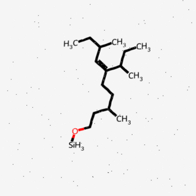 CCC(C)C=C(CCC(C)CCO[SiH3])C(C)CC